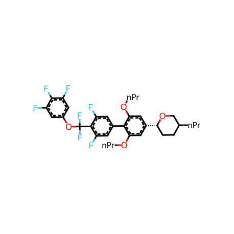 CCCOc1cc([C@H]2CCC(CCC)CO2)cc(OCCC)c1-c1cc(F)c(C(F)(F)Oc2cc(F)c(F)c(F)c2)c(F)c1